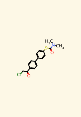 CN(C)C(=O)Sc1ccc(-c2ccc(C(=O)CCl)cc2)cc1